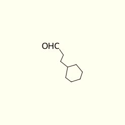 O=CCCC1CCCCC1